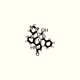 O=C(O)OCC1=C(c2[nH]c(=O)ccc2OCc2ccccc2)C=CCN1c1cncnc1